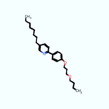 CCCCCCCCc1ccc(-c2ccc(OCCCOCCCC)cc2)nc1